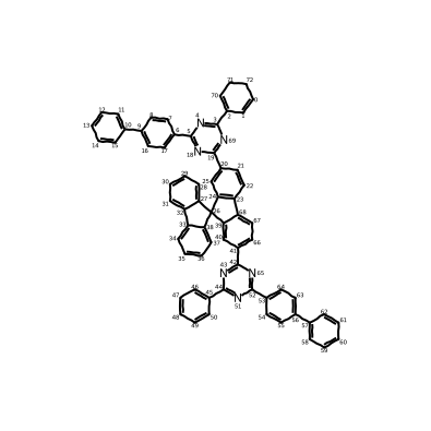 C1=CC(c2nc(-c3ccc(-c4ccccc4)cc3)nc(-c3ccc4c(c3)C3(c5ccccc5-c5ccccc53)c3cc(-c5nc(-c6ccccc6)nc(-c6ccc(-c7ccccc7)cc6)n5)ccc3-4)n2)=CCC1